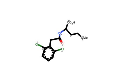 CSCCC(NC(=O)Cc1c(Cl)cccc1Cl)C(=O)O